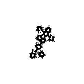 c1ccc(-n2c(-c3ccc(-c4ccc5c6c(cccc46)-c4c-5c(-c5ccccn5)c5ccccc5c4-c4ccccn4)cc3)nc3ccccc32)cc1